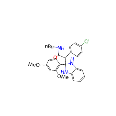 CCCCNC(=O)C(c1ccc(Cl)cc1)C1(c2ccc(OC)cc2OC)Nc2ccccc2N1